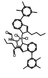 CCCCC1=Cc2c(-c3cc(C)cc(C)c3C)cccc2[CH]1[Hf]([Cl])([Cl])([B](NC=O)NC=O)[CH]1C(CCCC)=Cc2c(-c3cc(C)cc(C)c3C)cccc21